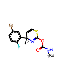 CC(C)(C)NC(=O)OC1=N[C@](C)(c2cc(Br)ccc2F)C=CS1